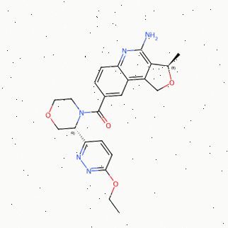 CCOc1ccc([C@@H]2COCCN2C(=O)c2ccc3nc(N)c4c(c3c2)CO[C@@H]4C)nn1